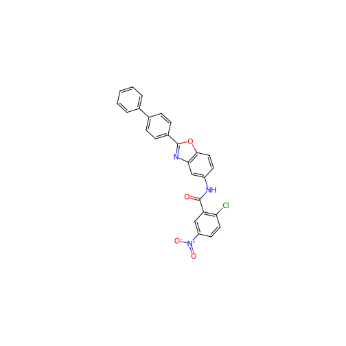 O=C(Nc1ccc2oc(-c3ccc(-c4ccccc4)cc3)nc2c1)c1cc([N+](=O)[O-])ccc1Cl